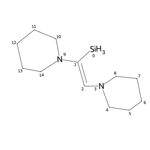 [SiH3]C(=CN1CCCCC1)N1CCCCC1